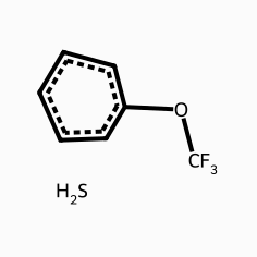 FC(F)(F)Oc1ccccc1.S